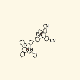 N#Cc1ccc(-n2c3ccccc3c3cc(-c4ccc(-n5c6ccccc6c6ccccc65)c(-c5nc(-c6ccccc6)cc(-c6ccccc6)n5)c4)ccc32)c(-c2ccc(C#N)cc2C(F)(F)F)c1